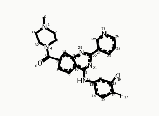 CN1CCN(C(=O)c2ccc3c(Nc4ccc(F)c(Cl)c4)nc(-c4cccnc4)nc3c2)CC1